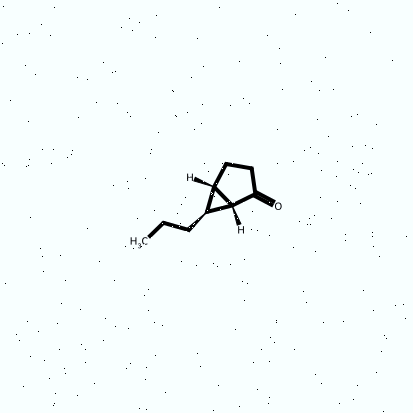 CCC[C@H]1[C@@H]2CCC(=O)[C@H]12